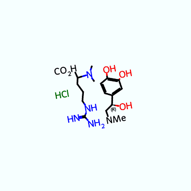 CN(C)C(CCCNC(=N)N)C(=O)O.CNC[C@H](O)c1ccc(O)c(O)c1.Cl